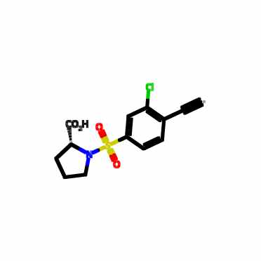 [C]#Cc1ccc(S(=O)(=O)N2CCC[C@@H]2C(=O)O)cc1Cl